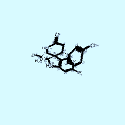 C=C(CC)[C@@H]1NC(=O)C[C@H](c2cccc(Cl)c2)[C@@]12C(=O)Nc1cc(Br)ccc12